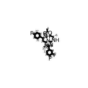 CCOC[C@H](C)N/C(=N/C(=O)c1ccc(F)c(F)c1)NC(CC(N=O)c1ccc(F)cc1)NC